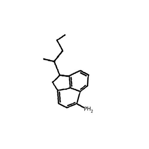 CCCC(C)C1Cc2ccc(P)c3cccc1c23